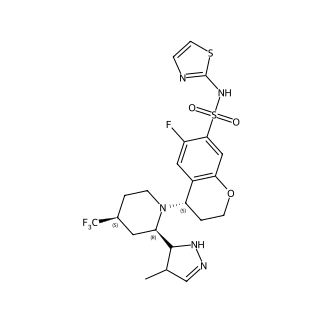 CC1C=NNC1[C@H]1C[C@@H](C(F)(F)F)CCN1[C@H]1CCOc2cc(S(=O)(=O)Nc3nccs3)c(F)cc21